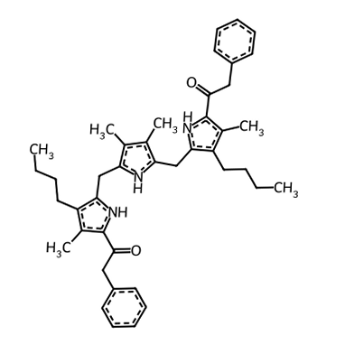 CCCCc1c(Cc2[nH]c(Cc3[nH]c(C(=O)Cc4ccccc4)c(C)c3CCCC)c(C)c2C)[nH]c(C(=O)Cc2ccccc2)c1C